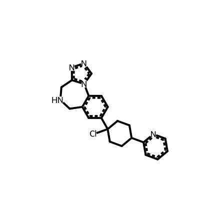 ClC1(c2ccc3c(c2)CNCc2nncn2-3)CCC(c2ccccn2)CC1